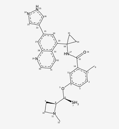 Cc1ccc(O[C@@H]([SiH3])[C@@H]2CCN2C)cc1C(=O)NC1(c2cc(-c3cn[nH]c3)cc3ncccc23)CC1